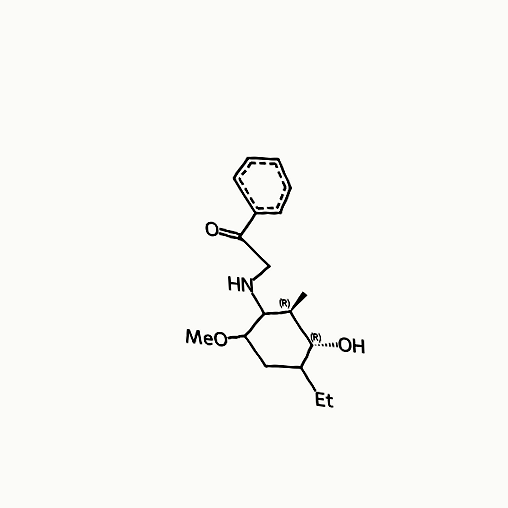 CCC1CC(OC)C(NCC(=O)c2ccccc2)[C@@H](C)[C@@H]1O